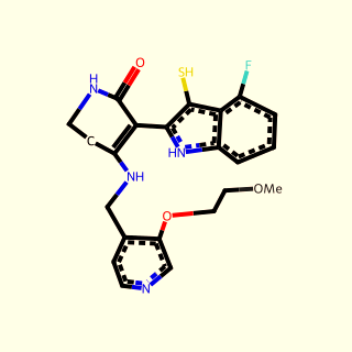 COCCOc1cnccc1CNC1=C(c2[nH]c3cccc(F)c3c2S)C(=O)NCC1